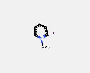 [AsH2][n+]1ccccc1.[I-]